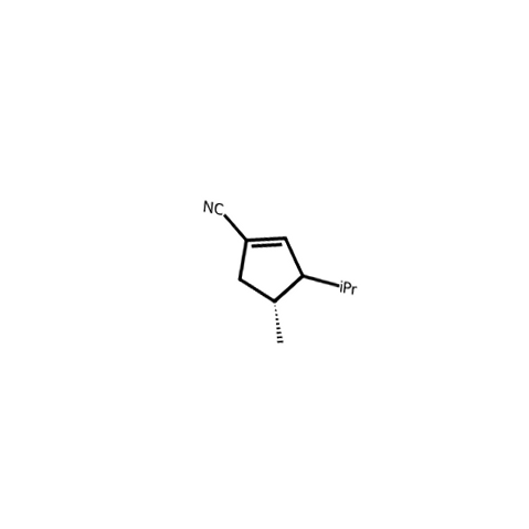 CC(C)C1C=C(C#N)C[C@H]1C